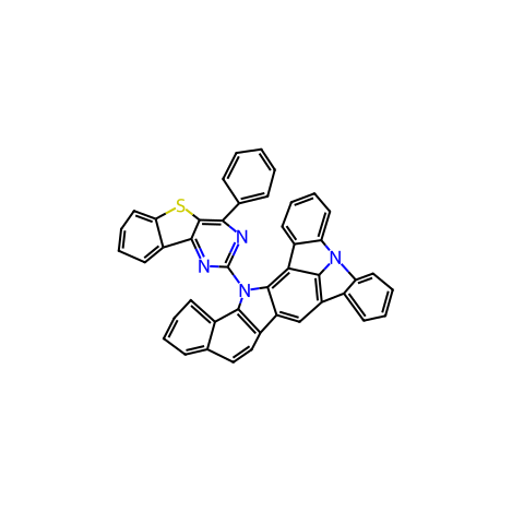 c1ccc(-c2nc(-n3c4c5ccccc5ccc4c4cc5c6ccccc6n6c7ccccc7c(c43)c56)nc3c2sc2ccccc23)cc1